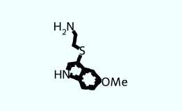 COc1ccc2[nH]cc(SCCN)c2c1